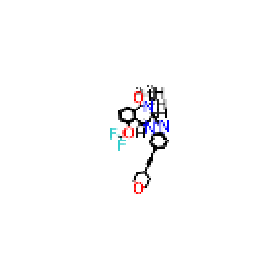 [2H]C([2H])([2H])N1C(=O)c2cccc(OC(F)F)c2[C@H]2C[C@@H]1c1nc3ccc(C#CC4CCOCC4)cc3n12